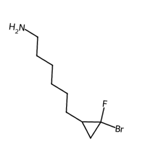 NCCCCCCC1CC1(F)Br